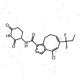 CCC(F)(F)C1=C/CCc2c(csc2C(=O)NC2CCC(=O)NC2=O)/C(Cl)=C\1